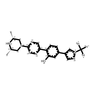 [2H]C([2H])([2H])n1cc(-c2ccc(-c3cnc(N4C[C@@H](C)N[C@@H](C)C4)nn3)c(O)c2)cn1